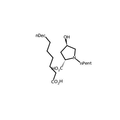 CCCCCCCCCCCCCCCC(=O)O.CCCCCN1C[C@H](O)C[C@H]1C(=O)O